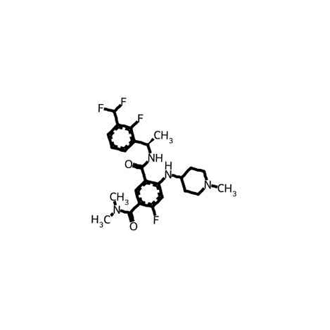 C[C@@H](NC(=O)c1cc(C(=O)N(C)C)c(F)cc1NC1CCN(C)CC1)c1cccc(C(F)F)c1F